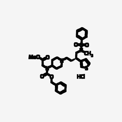 COC(=O)CN(C(=O)OCc1ccccc1)C1CCN(CC[C@H](CN(C)S(=O)(=O)c2ccccc2)c2ccsc2)CC1.Cl